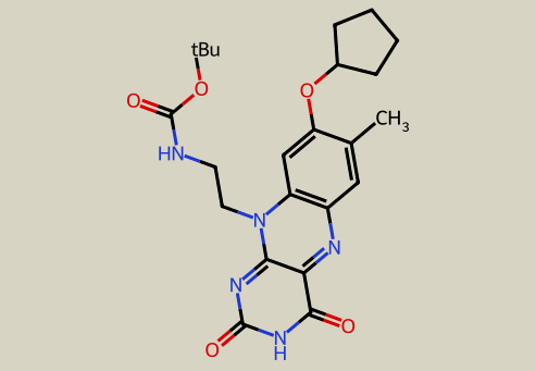 Cc1cc2nc3c(=O)[nH]c(=O)nc-3n(CCNC(=O)OC(C)(C)C)c2cc1OC1CCCC1